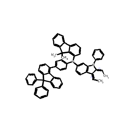 C/C=c1\c(=C/C)n(-c2ccccc2)c2cc(N(c3ccc(-c4cccc5c4-c4ccccc4C5(c4ccccc4)c4ccccc4)cc3)c3cccc4c3C(C)(C)c3ccccc3-4)ccc12